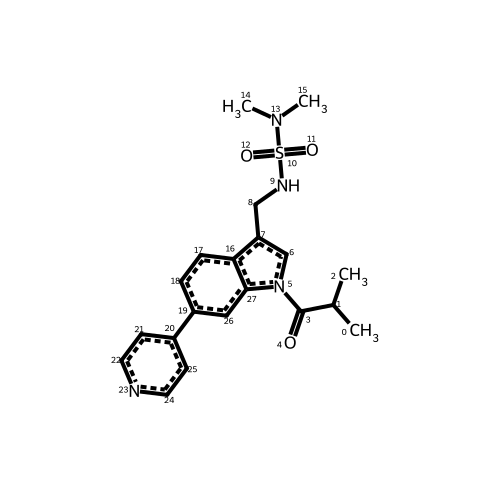 CC(C)C(=O)n1cc(CNS(=O)(=O)N(C)C)c2ccc(-c3ccncc3)cc21